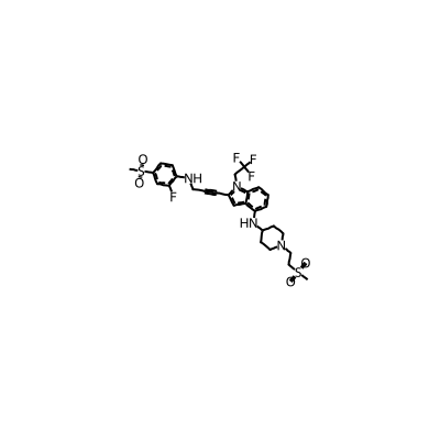 CS(=O)(=O)CCN1CCC(Nc2cccc3c2cc(C#CCNc2ccc(S(C)(=O)=O)cc2F)n3CC(F)(F)F)CC1